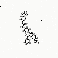 CCS(=O)(=O)c1ccc(CC(=O)Nc2ccc(-c3nc4ccc(C(F)(F)F)cc4n3[C@H](C)c3ccc(C)cc3)cc2)cc1